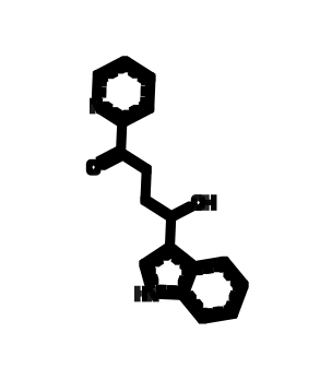 O=C(CCC(O)c1c[nH]c2ccccc12)c1ccccn1